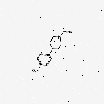 CCCCCCCCCN1CCN(c2ccc([N+](=O)[O-])cc2)CC1